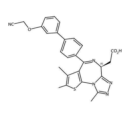 Cc1sc2c(c1C)C(c1ccc(-c3cccc(OCC#N)c3)cc1)=N[C@@H](CC(=O)O)c1nnc(C)n1-2